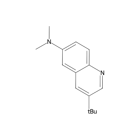 CN(C)c1ccc2ncc(C(C)(C)C)cc2c1